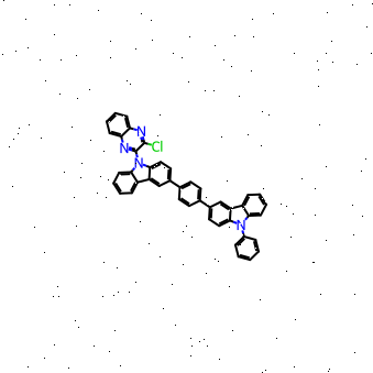 Clc1nc2ccccc2nc1-n1c2ccccc2c2cc(-c3ccc(-c4ccc5c(c4)c4ccccc4n5-c4ccccc4)cc3)ccc21